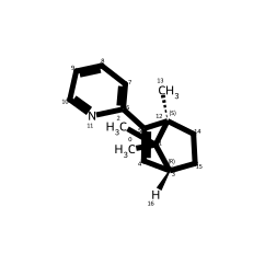 CC1(C)[C@H]2C=C(c3ccccn3)[C@@]1(C)CC2